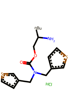 CCCCC(N)COC(=O)N(Cc1ccsc1)Cc1ccsc1.Cl